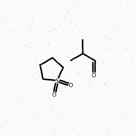 CC(C)C=O.O=S1(=O)CCCC1